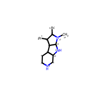 CC(=O)C1C(C(C)C)C2C3CCNCC3NC2N1C